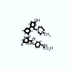 CN1CCCN(Cc2cc(O)ccc2-c2cccc(Oc3ncc(F)cc3C(=O)N[C@H]3CC[C@H](NC(=O)O)CC3)c2)CC1